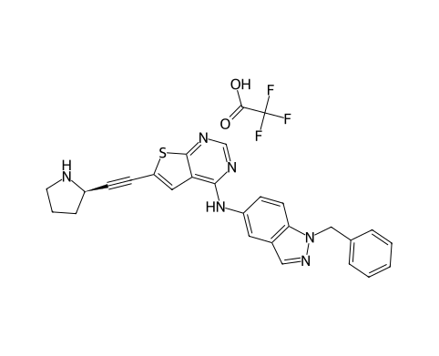 C(#C[C@H]1CCCN1)c1cc2c(Nc3ccc4c(cnn4Cc4ccccc4)c3)ncnc2s1.O=C(O)C(F)(F)F